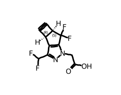 O=C(O)Cn1nc(C(F)F)c2c1C(F)(F)[C@@H]1C#C[C@H]21